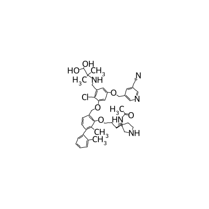 CC(=O)N[C@]1(CCCOc2c(COc3cc(OCc4cncc(C#N)c4)cc(CNC(C)(C)C(O)O)c3Cl)ccc(-c3ccccc3C)c2C)CCNC1